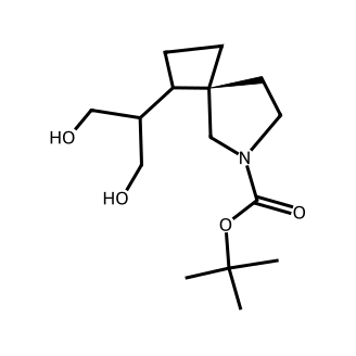 CC(C)(C)OC(=O)N1CC[C@@]2(CCC2C(CO)CO)C1